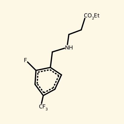 CCOC(=O)CCNCc1ccc(C(F)(F)F)cc1F